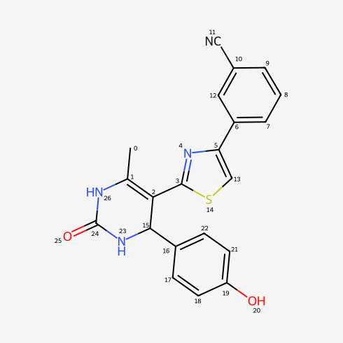 CC1=C(c2nc(-c3cccc(C#N)c3)cs2)C(c2ccc(O)cc2)NC(=O)N1